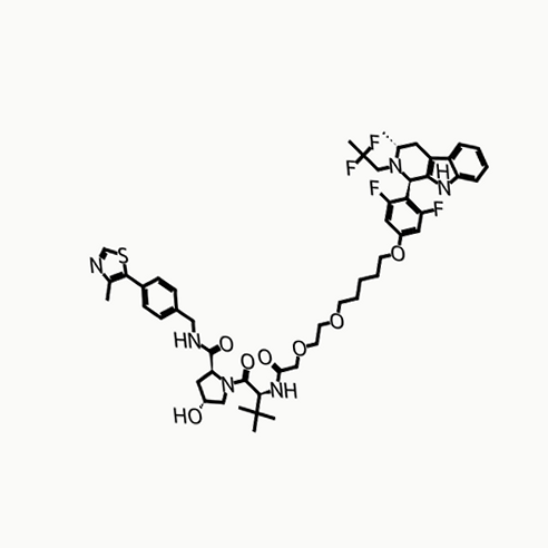 Cc1ncsc1-c1ccc(CNC(=O)[C@@H]2C[C@@H](O)CN2C(=O)[C@@H](NC(=O)COCCOCCCCCOc2cc(F)c([C@@H]3c4[nH]c5ccccc5c4C[C@@H](C)N3CC(C)(F)F)c(F)c2)C(C)(C)C)cc1